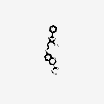 Cc1oc(-c2ccccc2)nc1CCOc1ccc2c(c1)OC[C@@H](C(=O)OC(C)(C)C)C2